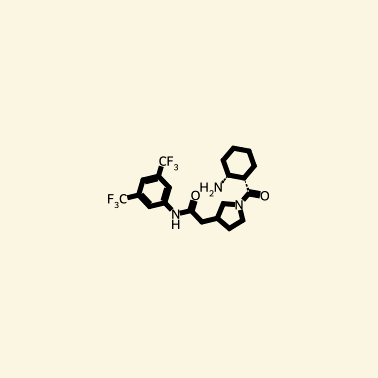 N[C@@H]1CCCC[C@@H]1C(=O)N1CCC(CC(=O)Nc2cc(C(F)(F)F)cc(C(F)(F)F)c2)C1